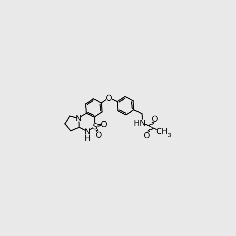 CS(=O)(=O)NCc1ccc(Oc2ccc3c(c2)S(=O)(=O)NC2CCCN32)cc1